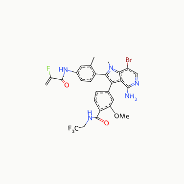 C=C(F)C(=O)Nc1ccc(-c2c(-c3ccc(C(=O)NCC(F)(F)F)c(OC)c3)c3c(N)ncc(Br)c3n2C)c(C)c1